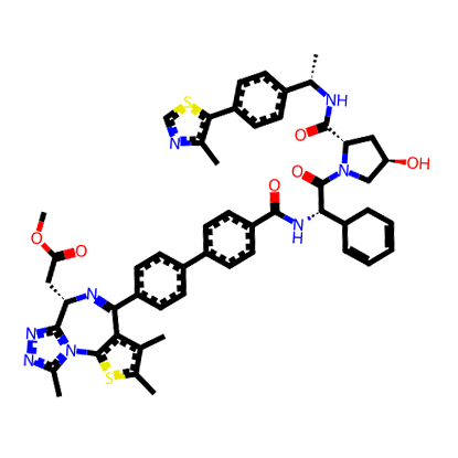 COC(=O)C[C@@H]1N=C(c2ccc(-c3ccc(C(=O)N[C@H](C(=O)N4C[C@H](O)C[C@H]4C(=O)N[C@@H](C)c4ccc(-c5scnc5C)cc4)C4C=CC=CC4)cc3)cc2)c2c(sc(C)c2C)-n2c(C)nnc21